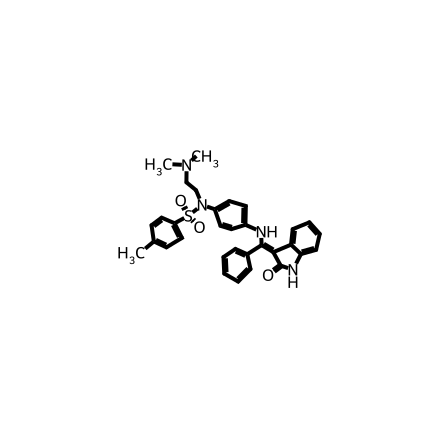 Cc1ccc(S(=O)(=O)N(CCN(C)C)c2ccc(NC(=C3C(=O)Nc4ccccc43)c3ccccc3)cc2)cc1